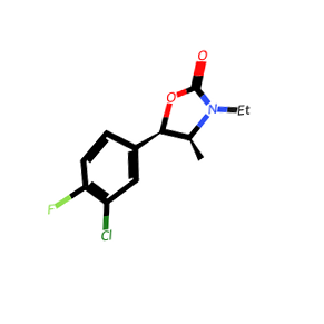 CCN1C(=O)O[C@H](c2ccc(F)c(Cl)c2)[C@@H]1C